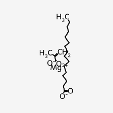 C=C(C)C(=O)[O-].CCCCCCCCCCCCCCCC(=O)[O-].[Mg+2]